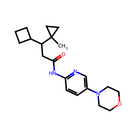 CC1(C(CC(=O)Nc2ccc(N3CCOCC3)cn2)C2CCC2)CC1